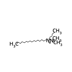 CCCCCCCCCCCCCCCCN1C=CN(C(C)C)C1CCCCC